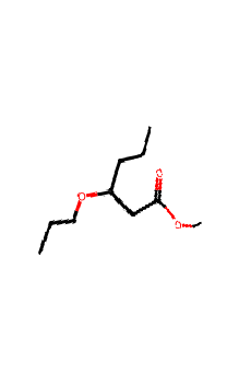 CCCOC(CCC)CC(=O)OC